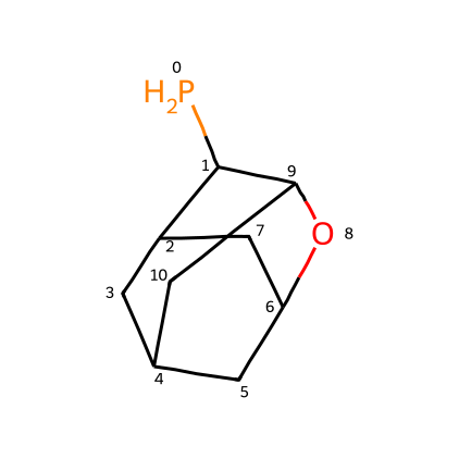 PC1C2CC3CC(C2)OC1C3